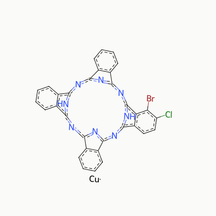 Clc1ccc2c3nc4nc(nc5[nH]c(nc6nc(nc([nH]3)c2c1Br)-c1ccccc1-6)c1ccccc51)-c1ccccc1-4.[Cu]